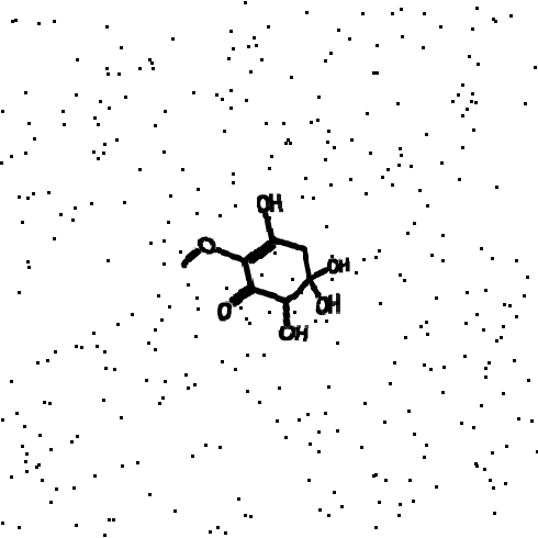 COC1=C(O)CC(O)(O)C(O)C1=O